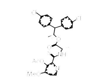 COc1ccnc(C(=S)N[C@@H](C)C(=O)O[C@@H](C)C(c2ccc(Cl)cc2)c2ccc(Cl)cc2)c1OC(C)=O